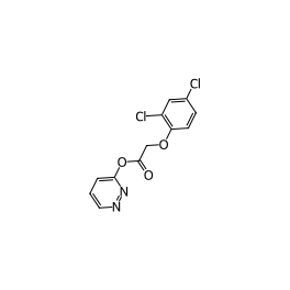 O=C(COc1ccc(Cl)cc1Cl)Oc1cccnn1